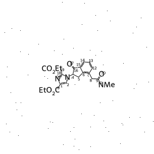 CCOC(=O)c1cn(C2Cc3c(CC(=O)NC)cccc3C2=O)c(C(=O)OCC)n1